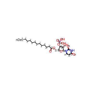 CCCCCCCCCCCCCCCCCCCCCC(=O)OC[C@H]1O[C@@H](n2ccc(=O)[nH]c2=O)[C@H](O)[C@@H]1OP(=O)(O)O